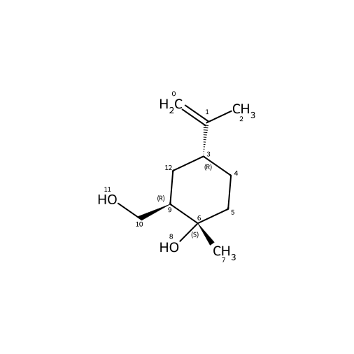 C=C(C)[C@@H]1CC[C@](C)(O)[C@@H](CO)C1